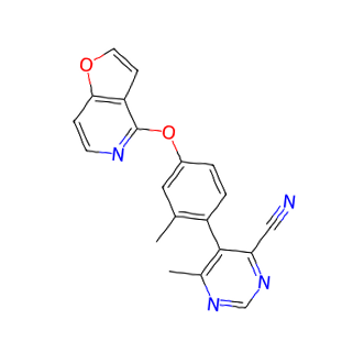 Cc1cc(Oc2nccc3occc23)ccc1-c1c(C)ncnc1C#N